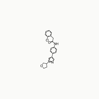 O=C(Cc1ccccc1Cl)Nc1ccc(-c2cnn(C3CCOC3)c2)cc1